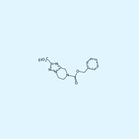 CCOC(=O)c1nc2n(n1)CCN(C(=O)OCc1ccccc1)C2